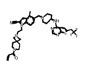 C=CC(=O)N1CCC2(CC1)CN(CCn1c(C#N)cc3c(C)c(CN4CCC(Nc5ncnc6sc(CC(F)(F)F)cc56)CC4)ccc31)C2